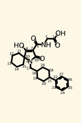 O=C(O)CNC(=O)C1=C(O)C2(CCCCC2)N(CC2CCC(c3ccccc3)CC2)C1=O